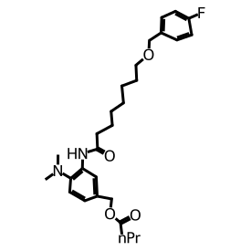 CCCC(=O)OCc1ccc(N(C)C)c(NC(=O)CCCCCCCOCc2ccc(F)cc2)c1